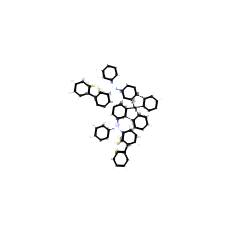 c1ccc(N(c2ccc3c(c2)C2(c4ccccc4-3)c3ccccc3-c3c(N(c4ccccc4)c4cccc5c4sc4ccccc45)cccc32)c2cccc3c2sc2ccccc23)cc1